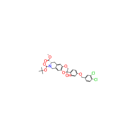 COC(=O)[C@@H]1Cc2cc3c(cc2CN1C(=O)OC(C)(C)C)OC(O)(c1ccc(OCc2ccc(Cl)c(Cl)c2)cc1)CO3